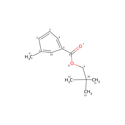 Cc1cccc(C(=O)OCC(C)(C)C)c1